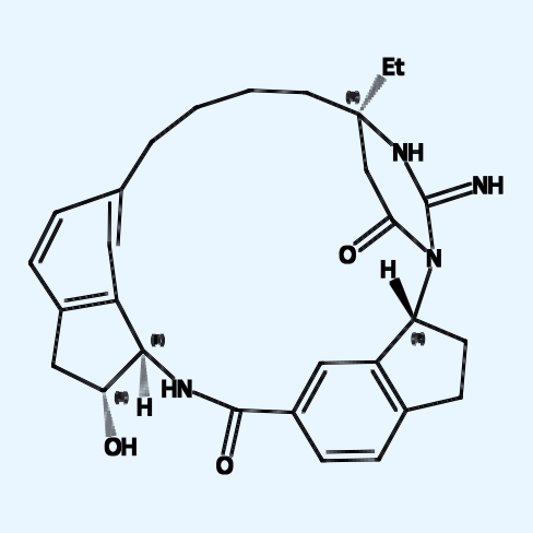 CC[C@]12CCCCc3ccc4c(c3)[C@@H](NC(=O)c3ccc5c(c3)[C@@H](CC5)N(C(=N)N1)C(=O)C2)[C@H](O)C4